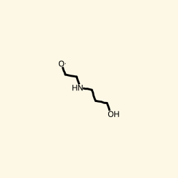 [O]CCNCCCO